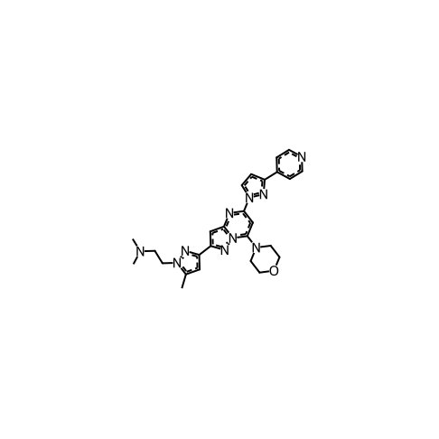 Cc1cc(-c2cc3nc(-n4ccc(-c5ccncc5)n4)cc(N4CCOCC4)n3n2)nn1CCN(C)C